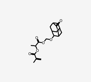 C=C(C)C(=O)OC(C)C(=O)OCOC1C2CC3CC(C2)C(=O)OC1C3